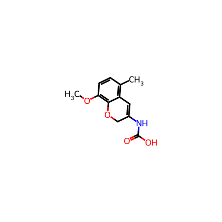 COc1ccc(C)c2c1OCC(NC(=O)O)=C2